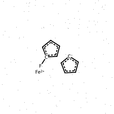 F[c-]1cccc1.[Fe+2].c1cc[cH-]c1